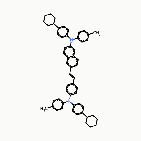 Cc1ccc(N(c2ccc(/C=C/c3ccc4cc(N(c5ccc(C)cc5)c5ccc(C6CCCCC6)cc5)ccc4c3)cc2)c2ccc(C3CCCCC3)cc2)cc1